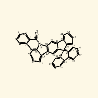 O=c1c2ccccc2c2cccc3c4cc5c(cc4n1c23)-c1ccccc1C51c2ccccc2-c2ccccc21